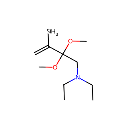 C=C([SiH3])C(CN(CC)CC)(OC)OC